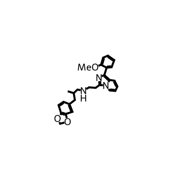 COc1ccccc1-c1nc(CCNCC(C)Cc2ccc3c(c2)OCO3)n2ccccc12